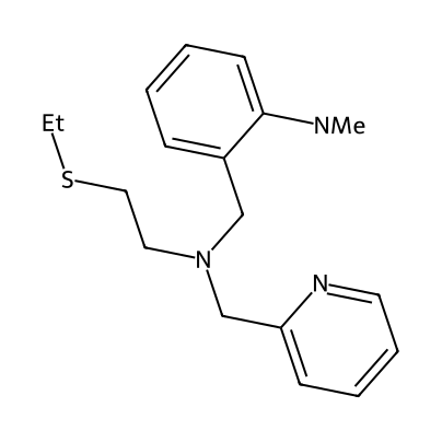 CCSCCN(Cc1ccccn1)Cc1ccccc1NC